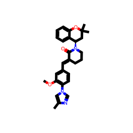 COc1cc(/C=C2\CCCN([C@@H]3CC(C)(C)Oc4ccccc43)C2=O)ccc1-n1cnc(C)c1